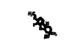 CCOc1ccc2c(c1F)OC1CC(C)(O)CC[C@@H]21